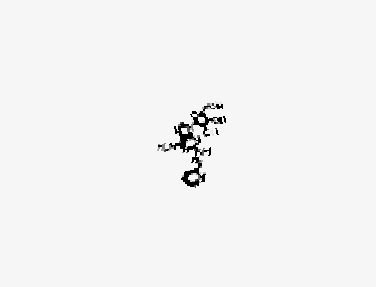 Nc1nc(N/N=C/c2ccccn2)nc2c1ncn2[C@@H]1O[C@H](CO)[C@@H](O)[C@H]1O